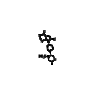 C[C@H]1CN(C(=O)O)[C@@H](c2ccc(-n3c(Cl)cc4c(Cl)ncnc43)cc2)CO1